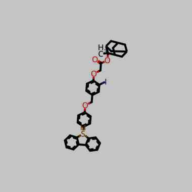 CC1(OC(=O)COc2ccc(COc3ccc([SH]4c5ccccc5-c5ccccc54)cc3)cc2I)C2CC3CC(C2)CC1C3